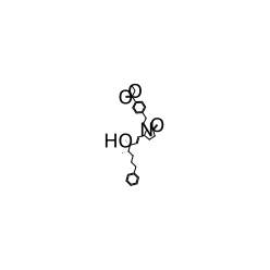 COC(=O)c1ccc(CCN2C(=O)CCC2C=C[C@@H](O)[C@@H](C)CCCc2ccccc2)cc1